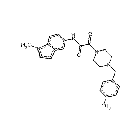 Cc1ccc(CN2CCN(C(=O)C(=O)Nc3ccc4c(ccn4C)c3)CC2)cc1